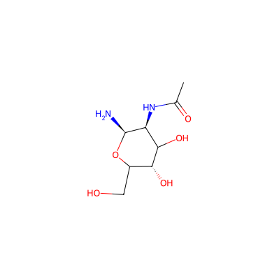 CC(=O)N[C@H]1C(O)[C@H](O)C(CO)O[C@H]1N